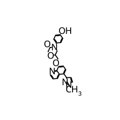 Cn1ccc(-c2ccc(OCC3CN(c4ccc(O)cc4)C(=O)CO3)c3ncccc23)n1